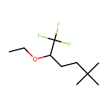 CCOC(CCC(C)(C)C)C(F)(F)F